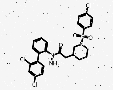 NN(C(=O)CC1CCCN(S(=O)(=O)c2ccc(Cl)cc2)C1)c1ccccc1-c1ccc(Cl)cc1Cl